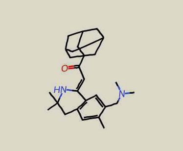 Cc1cc2c(cc1CN(C)C)C(=CC(=O)C13CC4CC(CC(C4)C1)C3)NC(C)(C)C2